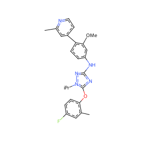 COc1cc(Nc2nc(Oc3ccc(F)cc3C)n(C(C)C)n2)ccc1-c1ccnc(C)c1